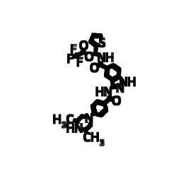 CC1CN(c2ccc(C(=O)Nc3n[nH]c4ccc(C(=O)NC(OC(=O)C(F)(F)F)c5cccs5)cc34)cc2)CC(C)N1